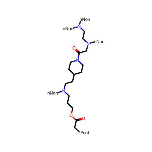 CCCCCCCCCN(CCCOC(=O)CC(C)CCC)CCC1CCN(C(=O)CN(CCCCCCCCC)CCN(CCCCCCCCC)CCCCCCCCC)CC1